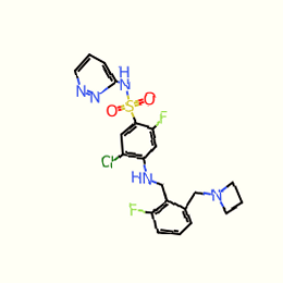 O=S(=O)(Nc1cccnn1)c1cc(Cl)c(NCc2c(F)cccc2CN2CCC2)cc1F